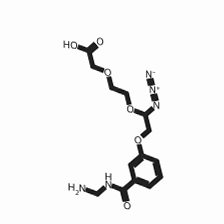 [N-]=[N+]=NC(COc1cccc(C(=O)NCN)c1)OCCOCC(=O)O